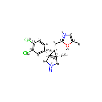 Cc1cnc(C[C@@H]2[C@H]3CNC[C@]32c2ccc(Cl)c(Cl)c2)o1